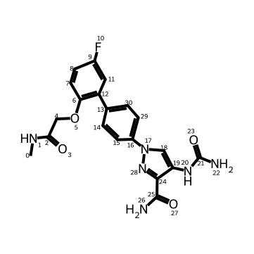 CNC(=O)COc1ccc(F)cc1-c1ccc(-n2cc(NC(N)=O)c(C(N)=O)n2)cc1